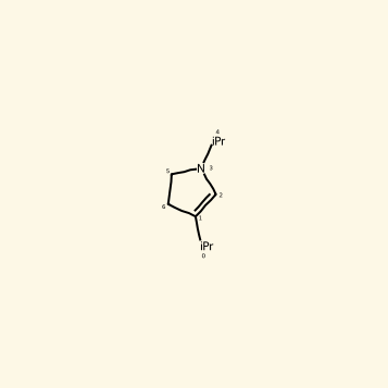 CC(C)C1=CN(C(C)C)CC1